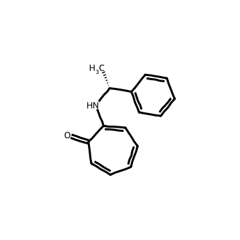 C[C@@H](Nc1cccccc1=O)c1ccccc1